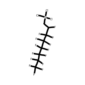 FC(C[Si](Cl)(Cl)Cl)C(F)(F)C(F)(F)C(F)(F)C(F)(F)C(F)(F)C(F)(F)F